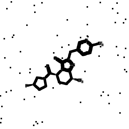 O=C([C@H]1CC[C@@H](C(F)(F)F)c2nn(Cc3ccc(C(F)(F)F)nc3)c(=O)n21)N1CC[C@H](F)C1